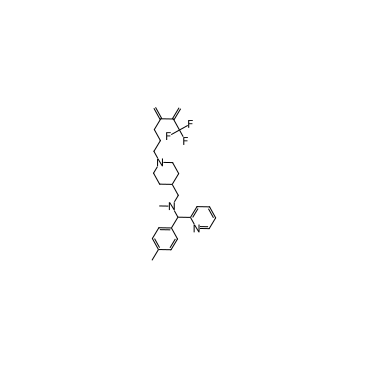 C=C(CCCN1CCC(CN(C)C(c2ccc(C)cc2)c2ccccn2)CC1)C(=C)C(F)(F)F